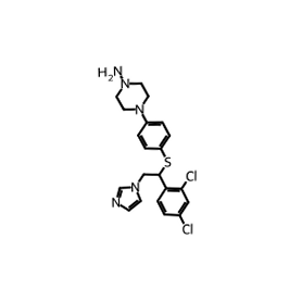 NN1CCN(c2ccc(SC(Cn3ccnc3)c3ccc(Cl)cc3Cl)cc2)CC1